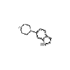 c1cc2ccc(C3CC[N]CC3)cc2[nH]1